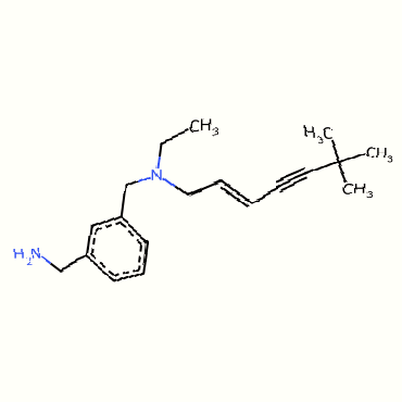 CCN(CC=CC#CC(C)(C)C)Cc1cccc(CN)c1